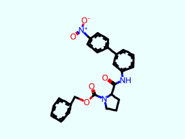 O=C(Nc1cccc(-c2ccc([N+](=O)[O-])cc2)c1)C1CCCN1C(=O)OCc1ccccc1